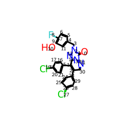 O=c1n(Cc2ccc(F)c(O)c2)nc2c(-c3ccc(Cl)cc3)c(-c3ccc(Cl)cc3)cnn12